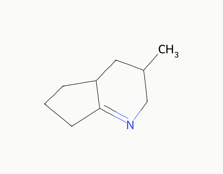 CC1CN=C2CCCC2C1